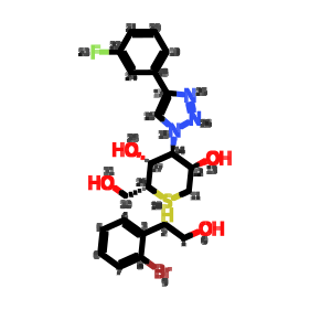 OCC(c1ccccc1Br)[SH]1C[C@H](O)[C@H](n2cc(-c3cccc(F)c3)nn2)[C@@H](O)[C@H]1CO